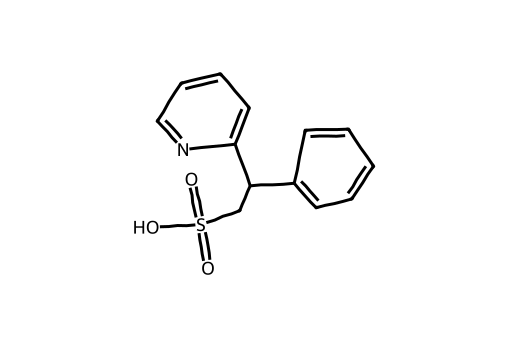 O=S(=O)(O)CC(c1ccccc1)c1ccccn1